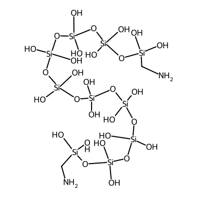 NC[Si](O)(O)O[Si](O)(O)O[Si](O)(O)O[Si](O)(O)O[Si](O)(O)O[Si](O)(O)O[Si](O)(O)O[Si](O)(O)O[Si](O)(O)O[Si](O)(O)CN